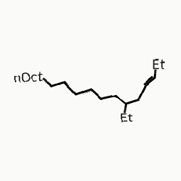 [CH2]CC=CCC(CC)CCCCCCCCCCCCC[CH2]